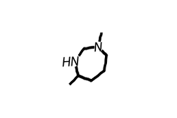 CC1CCCN(C)CN1